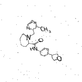 Cc1cccnc1CN1CCCC[C@@H]1C(=O)Nc1ccc(C2COC2)cc1